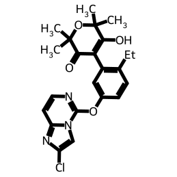 CCc1ccc(Oc2nccc3nc(Cl)cn23)cc1C1=C(O)C(C)(C)OC(C)(C)C1=O